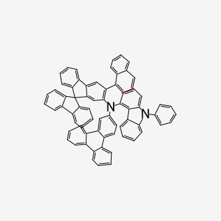 c1ccc(-n2c3ccccc3c3c(N(c4ccc5c6ccccc6c6ccccc6c5c4)c4cc5c(cc4-c4cccc6ccccc46)-c4ccccc4C54c5ccccc5-c5ccccc54)cccc32)cc1